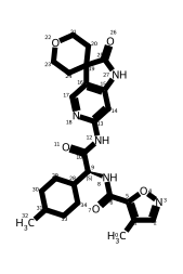 Cc1cnoc1C(=O)N[C@H](C(=O)Nc1cc2c(cn1)C1(CCOCC1)C(=O)N2)C1CCC(C)CC1